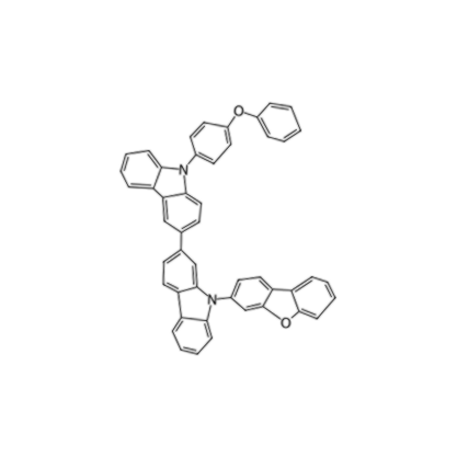 c1ccc(Oc2ccc(-n3c4ccccc4c4cc(-c5ccc6c7ccccc7n(-c7ccc8c(c7)oc7ccccc78)c6c5)ccc43)cc2)cc1